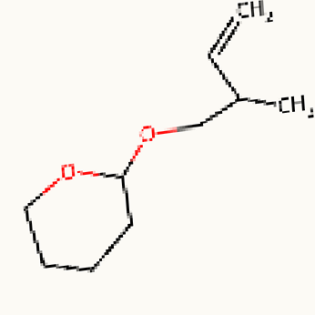 C=CC(C)COC1CCCCO1